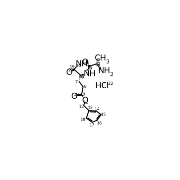 C[C@H](N)C(=O)N[C@H](CCC(=O)OCc1ccccc1)C(N)=O.Cl